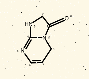 O=C1CNC2=NC=CCN12